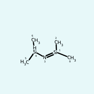 C[Si](C)=N[SiH](C)C